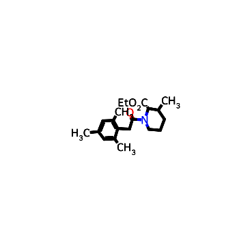 CCOC(=O)C1C(C)CCCN1C(=O)Cc1c(C)cc(C)cc1C